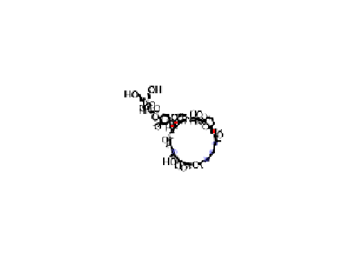 CO[C@H]1C[C@@H]2CC[C@@H](C)[C@@](O)(O2)C(=O)C(=O)N2CCCC3[C@H]2C(=O)O[C@@H](CC(=O)[C@H](C)/C=C(\C)[C@@H](O)[C@@H](OC)C(=O)[C@H](C)C[C@H](C)/C=C/C=C/C=C/1C)[C@H]3C[C@@H]1CC[C@@H](OC(=O)NS(=O)(=O)N(CCO)CCO)[C@H](OC)C1